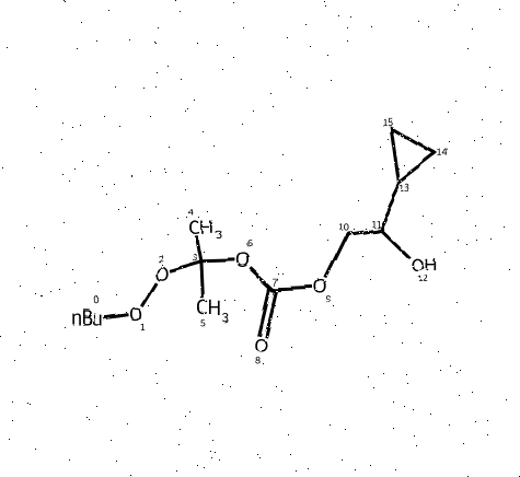 CCCCOOC(C)(C)OC(=O)OCC(O)C1CC1